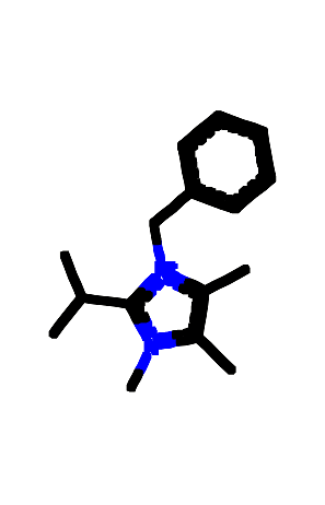 Cc1c(C)[n+](Cc2ccccc2)c(C(C)C)n1C